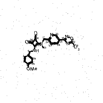 COc1ccc(CNc2c(N(C)Cc3ccc(-c4noc(C(F)(F)F)n4)cn3)c(=O)c2=O)cc1